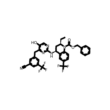 CC[C@@H]1C[C@H](Nc2ncc(O)c(Cc3cc(C#N)cc(C(F)(F)F)c3)n2)c2cc(C(F)(F)F)ccc2N1C(=O)OCc1ccccc1